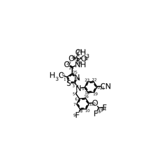 Cc1sc(N(Cc2cc(F)cc(OC(F)F)c2)c2ccc(C#N)cc2)nc1C(=O)NS(C)(=O)=O